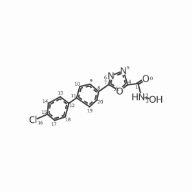 O=C(NO)c1nnc(-c2ccc(-c3ccc(Cl)cc3)cc2)o1